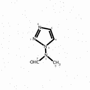 CN([C]=O)n1ccnn1